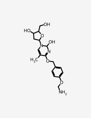 CC1=CN(C2CC(O)C(CO)O2)C(O)N=C1OCc1ccc(OCN)cc1